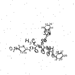 C=C=C(C(=O)OCc1ccc([N+](=O)[O-])cc1)N1C(=O)[C@@H](NC(=O)COc2ccccc2)[C@H]1SSc1nc2ccccc2s1